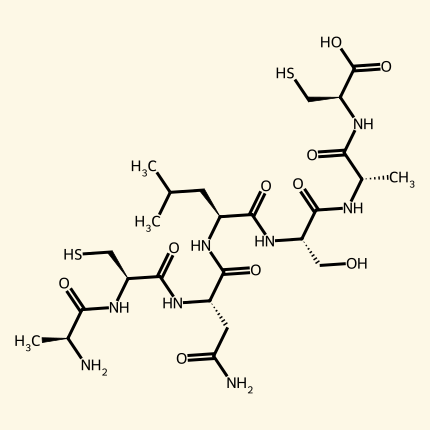 CC(C)C[C@H](NC(=O)[C@H](CC(N)=O)NC(=O)[C@H](CS)NC(=O)[C@H](C)N)C(=O)N[C@@H](CO)C(=O)N[C@@H](C)C(=O)N[C@@H](CS)C(=O)O